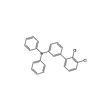 Clc1cccc(-c2cccc(N(c3ccccc3)c3ccccc3)c2)c1Cl